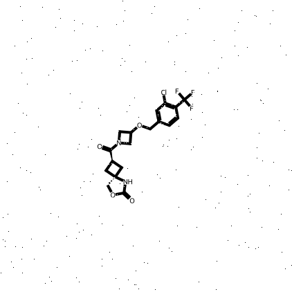 O=C1N[C@]2(CO1)C[C@H](C(=O)N1CC(OCc3ccc(C(F)(F)F)c(Cl)c3)C1)C2